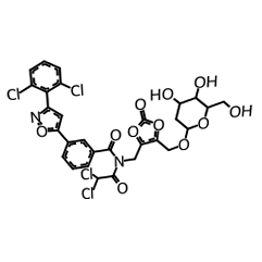 O=C(c1cccc(-c2cc(-c3c(Cl)cccc3Cl)no2)c1)N(Cc1oc(=O)oc1COC1CC(O)C(O)C(CO)O1)C(=O)C(Cl)Cl